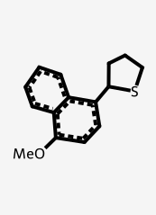 COc1ccc(C2CCCS2)c2ccccc12